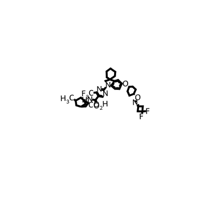 CC1CC2CC(C1)C(NC(=O)c1cnc(N3CC4(CCCCC4)c4cc(O[C@H]5CC[C@@H](ON=C6CC(F)(F)C6)CC5)ccc43)nc1C(F)(F)F)(C(=O)O)C2